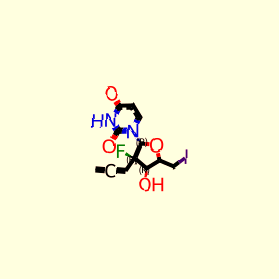 C=C=C[C@@]1(F)[C@H](O)C(CI)O[C@H]1n1ccc(=O)[nH]c1=O